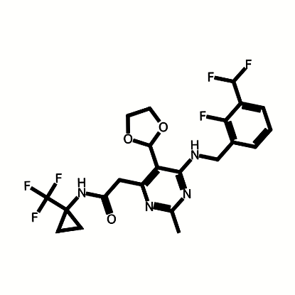 Cc1nc(CC(=O)NC2(C(F)(F)F)CC2)c(C2OCCO2)c(NCc2cccc(C(F)F)c2F)n1